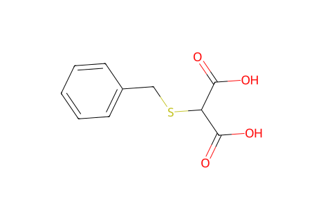 O=C(O)C(SCc1ccccc1)C(=O)O